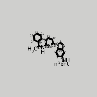 CCCCCNc1ccc2c(c1)ncn2-c1ccnc(NC(C)c2ccccc2)n1